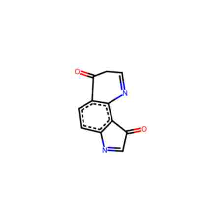 O=C1CC=Nc2c1ccc1c2C(=O)C=N1